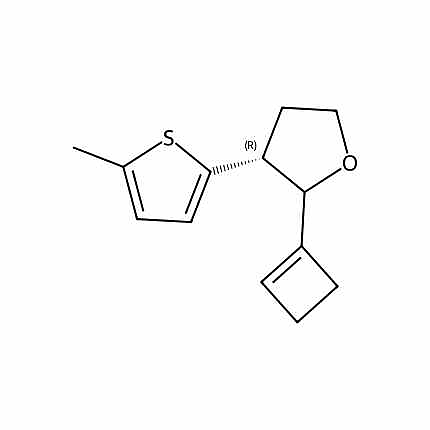 Cc1ccc([C@@H]2CCOC2C2=CCC2)s1